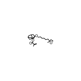 C=C(C)C(=O)OC12CC3CC(CC(OCCCCCCC4(C)CCO4)(C3)C1)C2